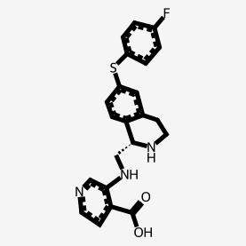 O=C(O)c1ccncc1NC[C@H]1NCCc2cc(Sc3ccc(F)cc3)ccc21